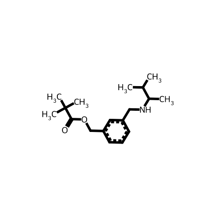 CC(C)C(C)NCc1cccc(COC(=O)C(C)(C)C)c1